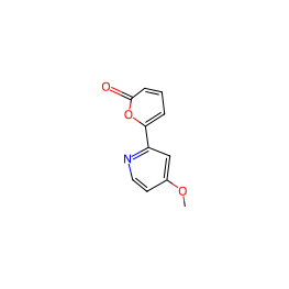 COc1ccnc(-c2cccc(=O)o2)c1